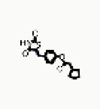 O=C(CC1CCCC1)Oc1ccc(/C=C2\SC(=O)NC2=O)cc1